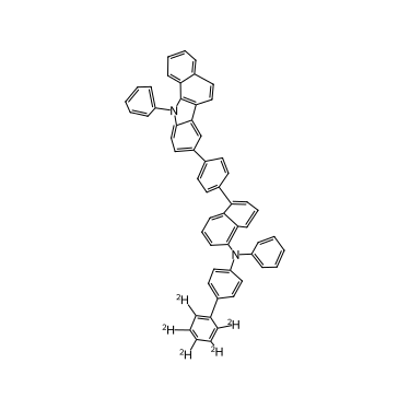 [2H]c1c([2H])c([2H])c(-c2ccc(N(c3ccccc3)c3cccc4c(-c5ccc(-c6ccc7c(c6)c6ccc8ccccc8c6n7-c6ccccc6)cc5)cccc34)cc2)c([2H])c1[2H]